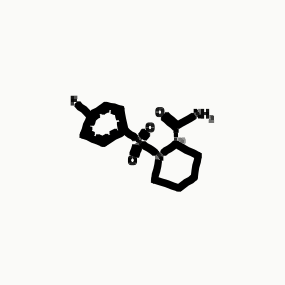 NC(=O)[C@@H]1CCCCN1S(=O)(=O)c1ccc(F)cc1